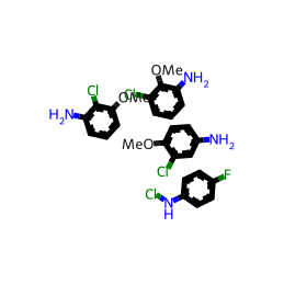 COc1c(N)cccc1Cl.COc1ccc(N)cc1Cl.COc1cccc(N)c1Cl.Fc1ccc(NCl)cc1